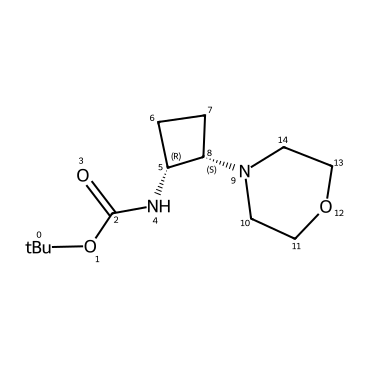 CC(C)(C)OC(=O)N[C@@H]1CC[C@@H]1N1CCOCC1